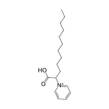 CCCCCCCCCCC(C(=O)O)[n+]1ccccc1